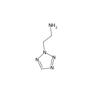 NCCn1ncnn1